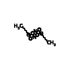 CCCCCCCCOc1c2ccccc2c2nc3ccc4c(OCCCCCCCC)c5ccccc5c5nc6ccc1c2c6c3c45